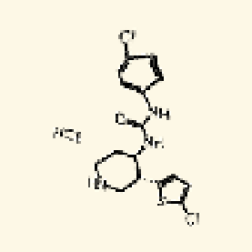 Cl.O=C(Nc1ccc(Cl)cc1)N[C@@H]1CCNC[C@H]1c1ccc(Cl)s1